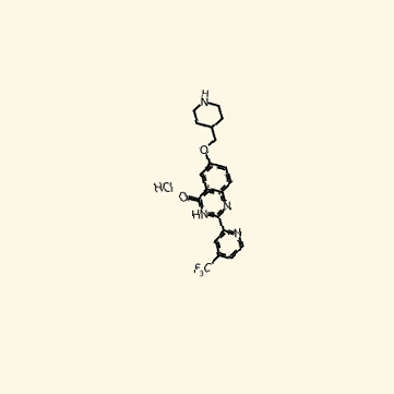 Cl.O=c1[nH]c(-c2cc(C(F)(F)F)ccn2)nc2ccc(OCC3CCNCC3)cc12